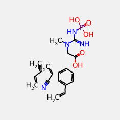 C=CC#N.C=CC=C.C=Cc1ccccc1.CN(CC(=O)O)C(=N)NP(=O)(O)O